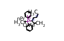 C=C/C(=C\C=C/C)[PH](c1ccccc1)(c1ccccc1)C(C)(CCC)OC